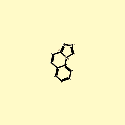 [c]1cc2ccccc2n2cnnc12